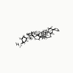 [C-]#[N+]C(=C1CC[C@H]2[C@@H]3CCC4=CC(=O)C=C[C@]4(C)[C@H]3CC[C@]12C)S(=O)(=O)c1ccc(C)cc1